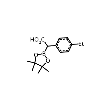 CCc1ccc(C(B2OC(C)(C)C(C)(C)O2)C(=O)O)cc1